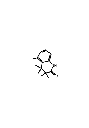 CC1(C)C(=O)Nc2cccc(F)c2C1(C)C